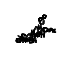 CC(=O)O[C@H]1[C@H]2O[C@]23[C@@H]2CC[C@]4(O)C[C@@H](NS(C)(=O)=O)CC[C@]4(C)[C@H]2CC[C@]3(C)[C@H]1c1ccc(=O)oc1